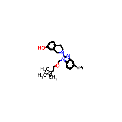 CCCc1ccc2c(c1)nc(N1CCc3ccc(O)cc3C1)n2COCC[Si](C)(C)C